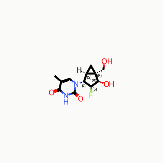 Cc1cn([C@H]2[C@H](F)[C@H](O)[C@]3(CO)C[C@H]23)c(=O)[nH]c1=O